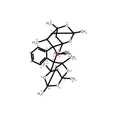 CC12CC3(C)OC(C)(CC(C)(O1)C3(CP)c1ccccc1C1(CP)C3(C)CC4(C)OC(C)(CC1(C)O4)O3)O2